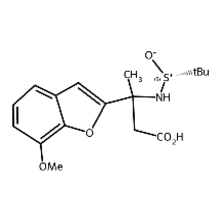 COc1cccc2cc(C(C)(CC(=O)O)N[S@+]([O-])C(C)(C)C)oc12